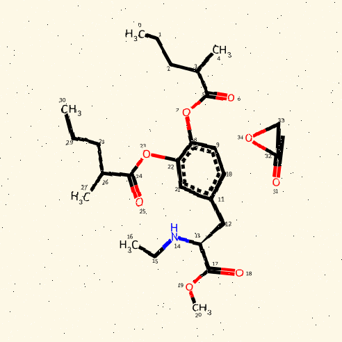 CCCC(C)C(=O)Oc1ccc(C[C@H](NCC)C(=O)OC)cc1OC(=O)C(C)CCC.O=C1CO1